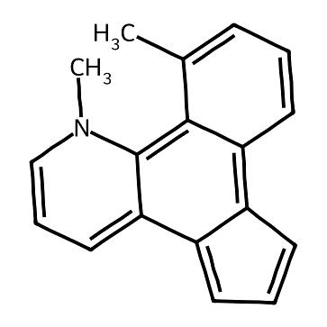 Cc1cccc2c3cccc3c3cccn(C)c3c12